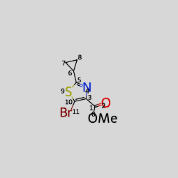 COC(=O)c1nc(C2CC2)sc1Br